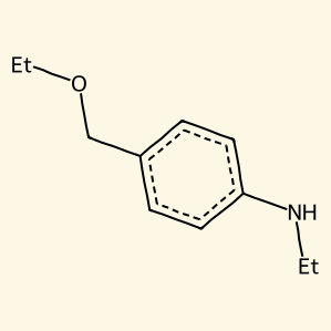 CCNc1ccc(COCC)cc1